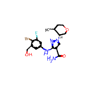 N#CC1CCOC[C@@H]1n1cc(C(N)=O)c(Nc2cc(F)c(Br)c(CO)c2)n1